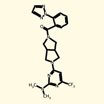 CN(C)c1nc(N2CC3CN(C(=O)c4ccccc4-n4nccn4)CC3C2)cc(C(F)(F)F)n1